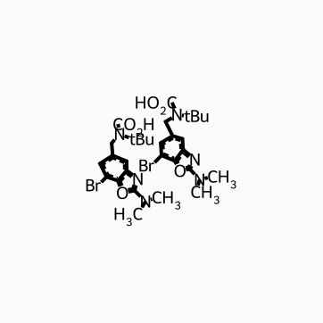 CN(C)c1nc2cc(CN(C(=O)O)C(C)(C)C)cc(Br)c2o1.CN(C)c1nc2cc(CN(C(=O)O)C(C)(C)C)cc(Br)c2o1